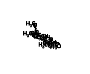 COCCCOc1cc(C[C@@H](C[C@H](N)[C@@H](O)C[C@H](C(=O)N[C@H]2CC23CCOCC3)C(C)C)C(C)C)ccc1OC